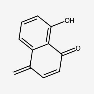 C=C1C=CC(=O)c2c(O)cccc21